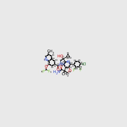 Cc1cnc2c(OC(F)F)cc(C(=O)NC[C@](O)(c3cc4c(c(-c5ccc(Cl)c(F)c5F)n3)OC[C@]4(C)C(N)=O)C3CC3)cc2c1